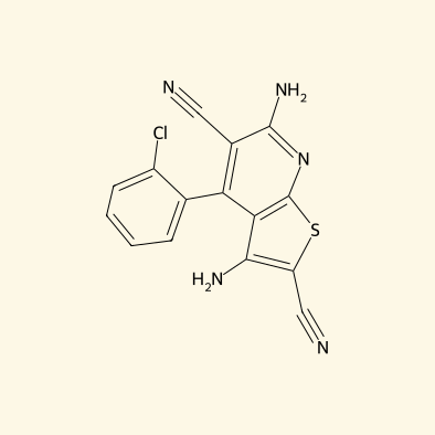 N#Cc1sc2nc(N)c(C#N)c(-c3ccccc3Cl)c2c1N